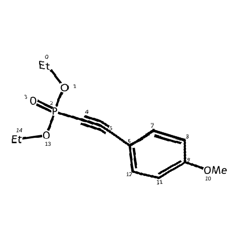 CCOP(=O)(C#Cc1ccc(OC)cc1)OCC